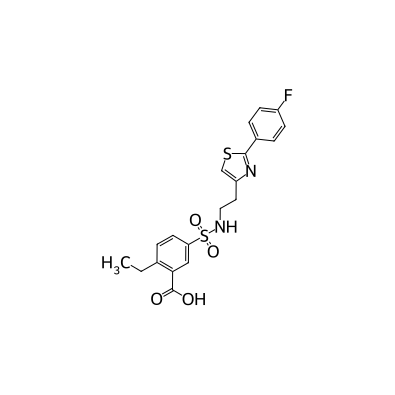 CCc1ccc(S(=O)(=O)NCCc2csc(-c3ccc(F)cc3)n2)cc1C(=O)O